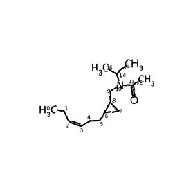 CC/C=C\CCC1CC1CN(C(C)=O)C(C)C